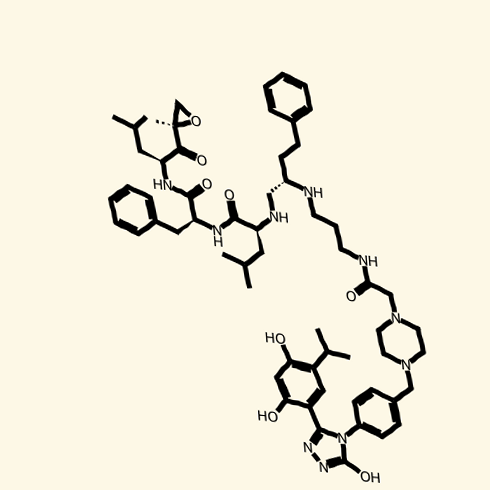 CC(C)C[C@H](NC[C@H](CCc1ccccc1)NCCCNC(=O)CN1CCN(Cc2ccc(-n3c(O)nnc3-c3cc(C(C)C)c(O)cc3O)cc2)CC1)C(=O)N[C@@H](Cc1ccccc1)C(=O)N[C@@H](CC(C)C)C(=O)[C@@]1(C)CO1